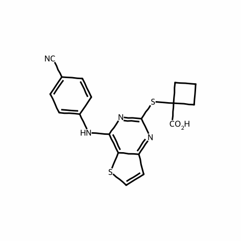 N#Cc1ccc(Nc2nc(SC3(C(=O)O)CCC3)nc3ccsc23)cc1